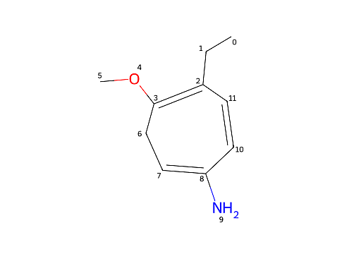 CCC1=C(OC)CC=C(N)C=C1